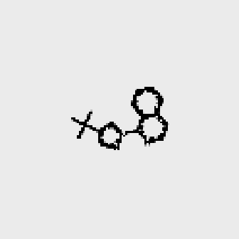 CC(C)(C)c1cnn(-c2nccc3ccccc23)c1